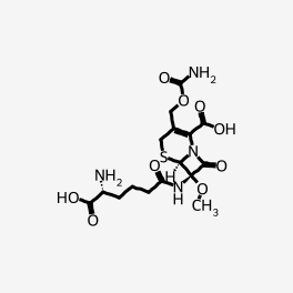 CO[C@@]1(NC(=O)CCC[C@@H](N)C(=O)O)C(=O)N2C(C(=O)O)=C(COC(N)=O)CS[C@@H]21